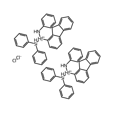 [Cl-].[Cl-].c1ccc([NH][Hf+]([c]2cccc3c2Cc2ccccc2-3)[SiH](c2ccccc2)c2ccccc2)cc1.c1ccc([NH][Hf+]([c]2cccc3c2Cc2ccccc2-3)[SiH](c2ccccc2)c2ccccc2)cc1